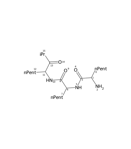 CCCCCC(N)C(=O)NC(CCCCC)C(=O)NC(CCCCC)C(=O)C(C)C